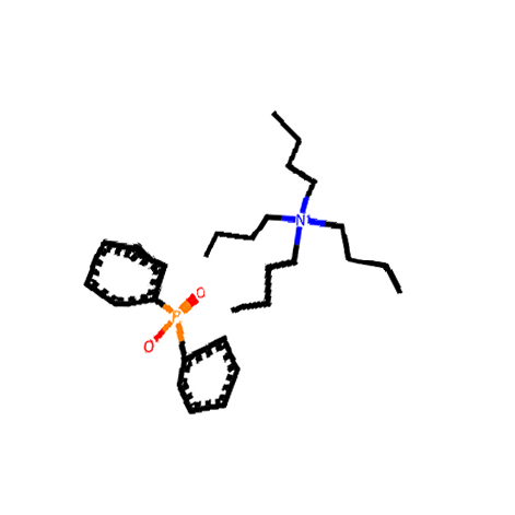 CCCC[N+](CCCC)(CCCC)CCCC.O=P([O-])(c1ccccc1)c1ccccc1